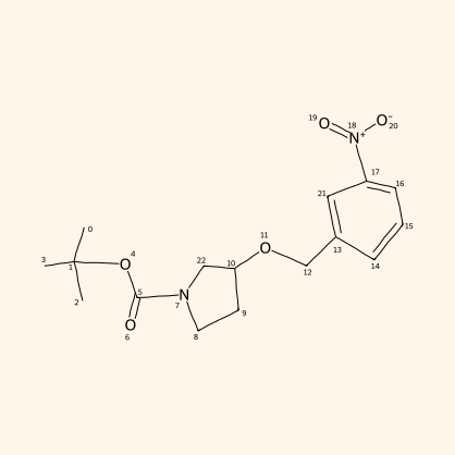 CC(C)(C)OC(=O)N1CCC(OCc2cccc([N+](=O)[O-])c2)C1